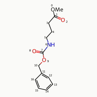 COC(=O)CCCNC(=O)OCc1ccccc1